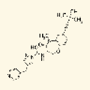 CN1C(=O)[C@@H](NC(O)n2cc(Cc3ccncc3)cn2)COc2ccc(C#CC(C)(C)O)cc21